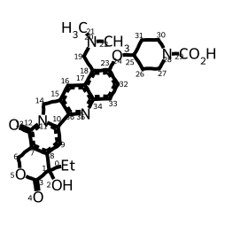 CCC1(O)C(=O)OCc2c1cc1n(c2=O)Cc2cc3c(CN(C)C)c(OC4CCN(C(=O)O)CC4)ccc3nc2-1